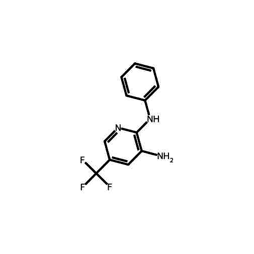 Nc1cc(C(F)(F)F)cnc1Nc1ccccc1